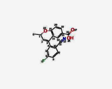 CC1C=C(c2cc(F)ccc2C#N)c2cc(C(=O)O)ccc2O1